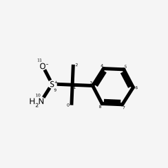 CC(C)(c1ccccc1)[S+](N)[O-]